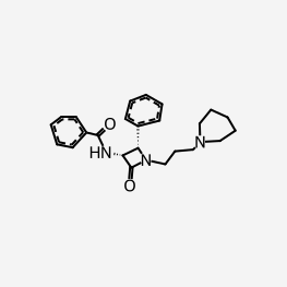 O=C(N[C@H]1C(=O)N(CCCN2CCCCC2)[C@H]1c1ccccc1)c1ccccc1